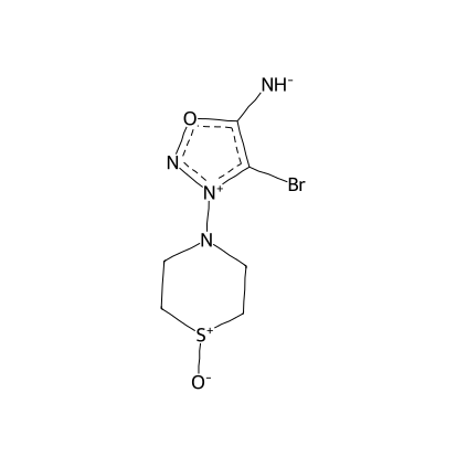 [NH-]c1on[n+](N2CC[S+]([O-])CC2)c1Br